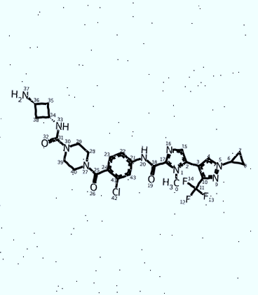 Cn1c(-c2cn(C3CC3)nc2C(F)(F)F)cnc1C(=O)Nc1ccc(C(=O)N2CCN(C(=O)N[C@H]3C[C@H](N)C3)CC2)c(Cl)c1